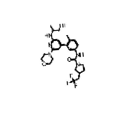 Cc1ccc(NC(=O)N2CCC(CC(F)(F)F)C2)cc1-c1cc(NC(C)CO)nc(N2CCOCC2)c1